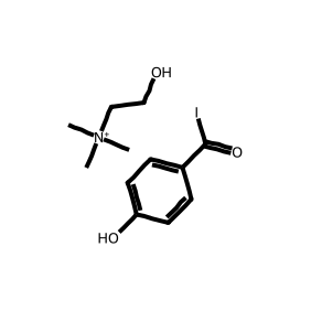 C[N+](C)(C)CCO.O=C(I)c1ccc(O)cc1